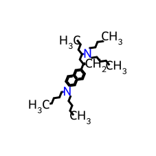 C=C(CC(CCC)N(CCCCC)CCCCC)c1ccc2cc(N(CCCCC)CCCCC)ccc2c1